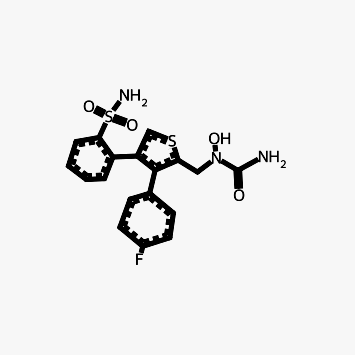 NC(=O)N(O)Cc1scc(-c2ccccc2S(N)(=O)=O)c1-c1ccc(F)cc1